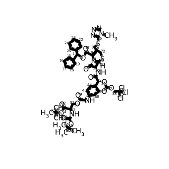 Cn1nnnc1SCC1=C(C(=O)OC(c2ccccc2)c2ccccc2)N2C(=O)[C@@H](NC(=O)[C@H](OC(=O)OCC(Cl)(Cl)Cl)c3ccc(NC(=O)OCC(NC(=O)OC(C)(C)C)C(=O)OC(C)(C)C)cc3)[C@H]2SC1